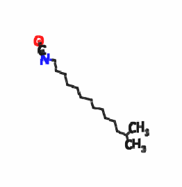 CC(C)CCCCCCCCCCCCN=C=O